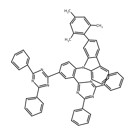 Cc1cc(C)c(-c2ccc3c4ccccc4n(-c4ccc(-c5nc(-c6ccccc6)nc(-c6ccccc6)n5)cc4-c4nc(-c5ccccc5)nc(-c5ccccc5)n4)c3c2)c(C)c1